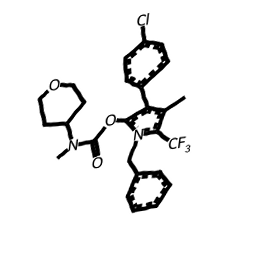 Cc1c(-c2ccc(Cl)cc2)c(OC(=O)N(C)C2CCOCC2)n(Cc2ccccc2)c1C(F)(F)F